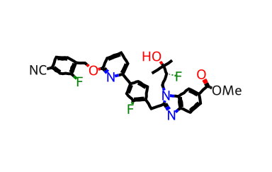 COC(=O)c1ccc2nc(Cc3ccc(-c4cccc(OCc5ccc(C#N)cc5F)n4)cc3F)n(C[C@@H](F)C(C)(C)O)c2c1